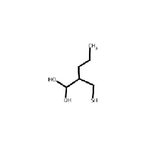 CCCC(CS)C(O)O